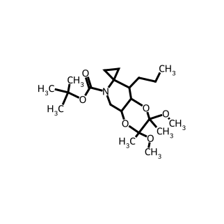 CCCC1C2OC(C)(OC)C(C)(OC)OC2CN(C(=O)OC(C)(C)C)C12CC2